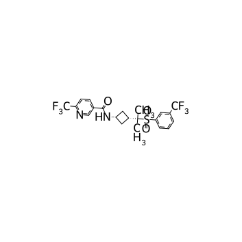 CC(C)([C@H]1C[C@@H](NC(=O)c2ccc(C(F)(F)F)nc2)C1)S(=O)(=O)c1cccc(C(F)(F)F)c1